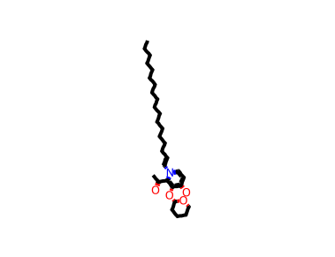 CCCCCCCCCCCCCCCCC=Cn1ccc(=O)c(OC2CCCCO2)c1C(C)=O